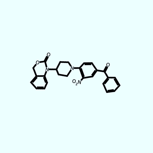 O=C(c1ccccc1)c1ccc(N2CCC(N3C(=O)OCc4ccccc43)CC2)c([N+](=O)[O-])c1